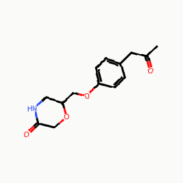 CC(=O)Cc1ccc(OCC2CNC(=O)CO2)cc1